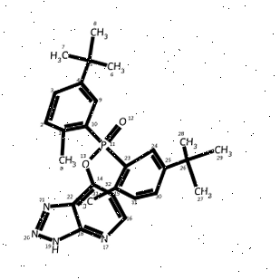 Cc1ccc(C(C)(C)C)cc1P(=O)(Oc1ccnc2[nH]nnc12)c1cc(C(C)(C)C)ccc1C